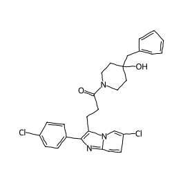 O=C(CCc1c(-c2ccc(Cl)cc2)nc2ccc(Cl)cn12)N1CCC(O)(Cc2ccccc2)CC1